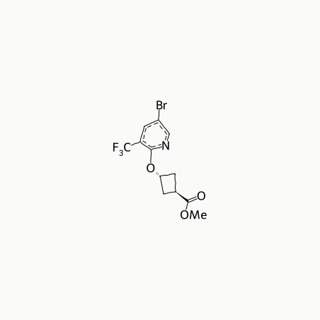 COC(=O)[C@H]1C[C@H](Oc2ncc(Br)cc2C(F)(F)F)C1